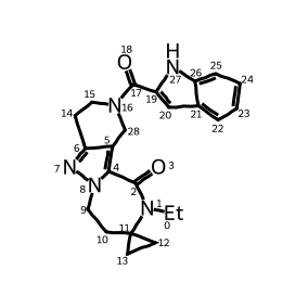 CCN1C(=O)c2c3c(nn2CCC12CC2)CCN(C(=O)c1cc2ccccc2[nH]1)C3